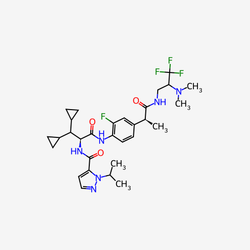 CC(C)n1nccc1C(=O)N[C@H](C(=O)Nc1ccc([C@H](C)C(=O)NCC(N(C)C)C(F)(F)F)cc1F)C(C1CC1)C1CC1